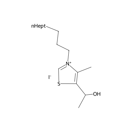 CCCCCCCCCC[n+]1csc(C(C)O)c1C.[I-]